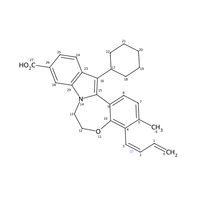 C=C/C=C\c1c(C)ccc2c1OCCn1c-2c(C2CCCCC2)c2ccc(C(=O)O)cc21